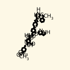 CC(C)c1ccccc1[C@@H]1CNCCN1C1CC2(CCN(c3ccc(C(=O)NS(=O)(=O)c4cnc(NCC5CCC(N=S(C)(C)=O)CC5)c(N=O)c4)c(Oc4cnc5[nH]ccc5c4)c3)CC2)C1